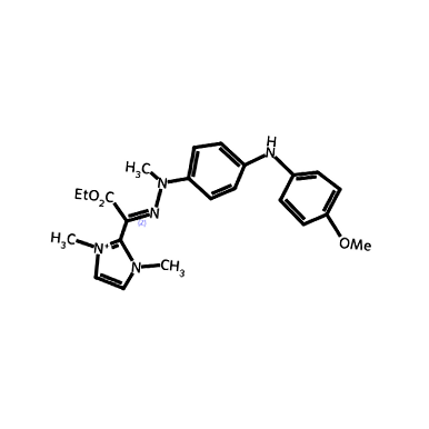 CCOC(=O)/C(=N\N(C)c1ccc(Nc2ccc(OC)cc2)cc1)c1n(C)cc[n+]1C